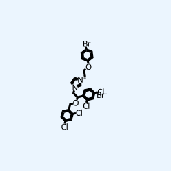 Clc1ccc(COC(Cn2cc[n+](CCOc3ccc(Br)cc3)c2)c2ccc(Cl)cc2Cl)c(Cl)c1.[Br-]